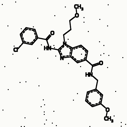 COCCCn1c(NC(=O)c2cccc(Cl)c2)nc2cc(C(=O)NCc3cccc(OC)c3)ccc21